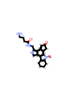 NCCCC(=O)NCC1=c2c(c3c(c4c2=CC(=O)C4)[N+](=O)C2=C3CCCC2)C=N1